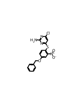 Nc1nc(Cl)cc(Sc2ccc(OCc3ccccc3)cc2[N+](=O)[O-])n1